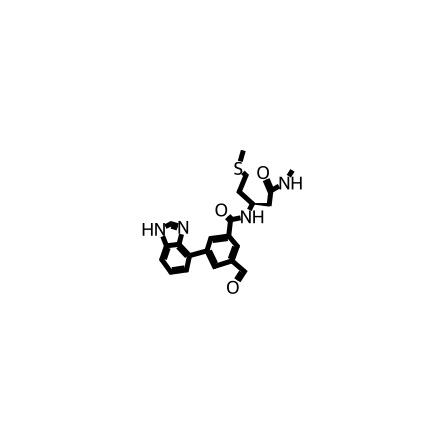 CNC(=O)C[C@H](CCSC)NC(=O)c1cc(C=O)cc(-c2cccc3[nH]cnc23)c1